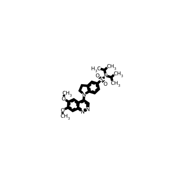 COc1cc2nncc(N3CCc4cc(S(=O)(=O)N(C(C)C)C(C)C)ccc43)c2cc1OC